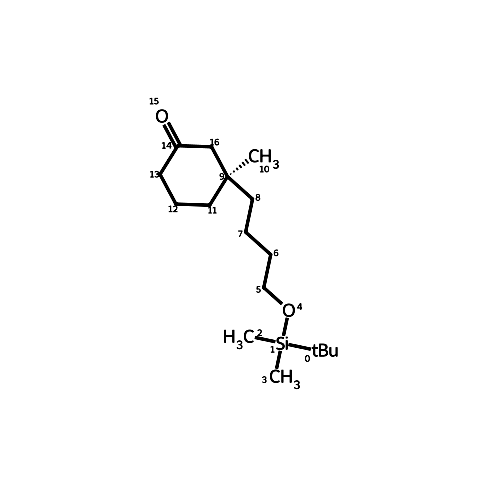 CC(C)(C)[Si](C)(C)OCCCC[C@@]1(C)CCCC(=O)C1